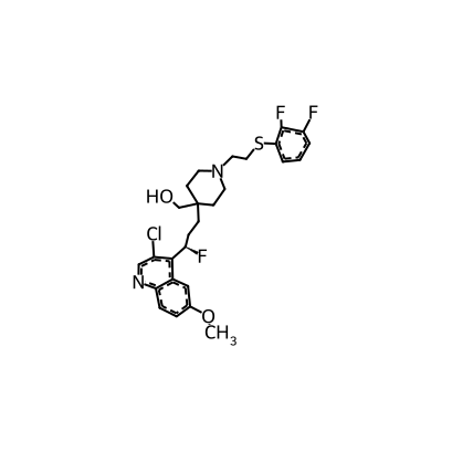 COc1ccc2ncc(Cl)c([C@H](F)CCC3(CO)CCN(CCSc4cccc(F)c4F)CC3)c2c1